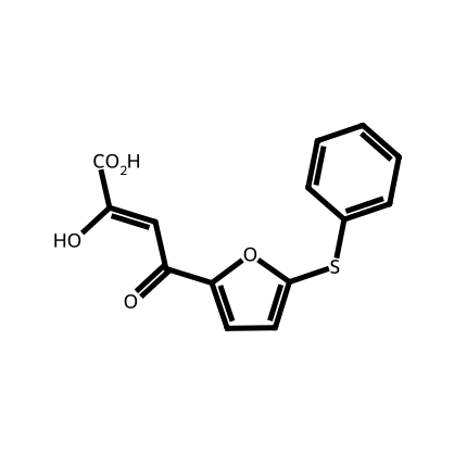 O=C(O)/C(O)=C/C(=O)c1ccc(Sc2ccccc2)o1